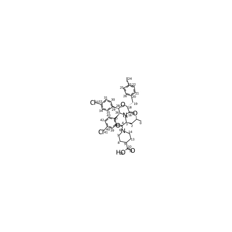 CCC[C@@H](C(=O)N1CCC(C(=O)O)CC1)N1C(=O)[C@@H](Cc2ccc(I)cc2)O[C@H](c2ccc(Cl)cc2)[C@@H]1c1ccc(Cl)cc1